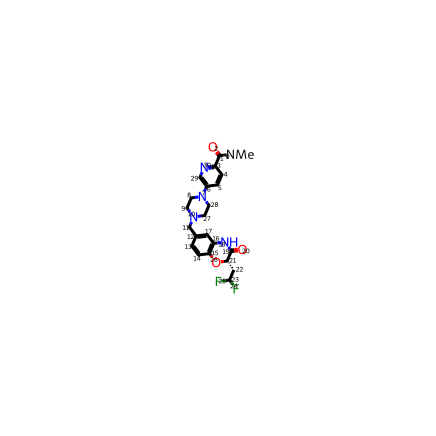 CNC(=O)c1ccc(N2CCN(Cc3ccc4c(c3)NC(=O)[C@H](CC(F)F)O4)CC2)cn1